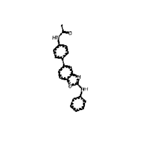 CC(=O)Nc1ccc(-c2ccc3oc(Nc4ccccc4)nc3c2)cc1